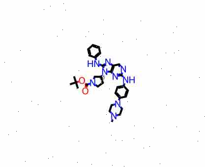 CN1CCN(c2ccc(Nc3ncc4nc(Nc5ccccc5)n([C@H]5CCN(C(=O)OC(C)(C)C)C5)c4n3)cc2)CC1